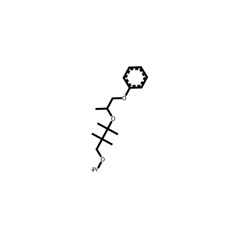 CC(C)OCC(C)(C)C(C)(C)OC(C)COc1ccccc1